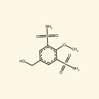 COc1c(S(N)(=O)=O)cc(CO)cc1S(N)(=O)=O